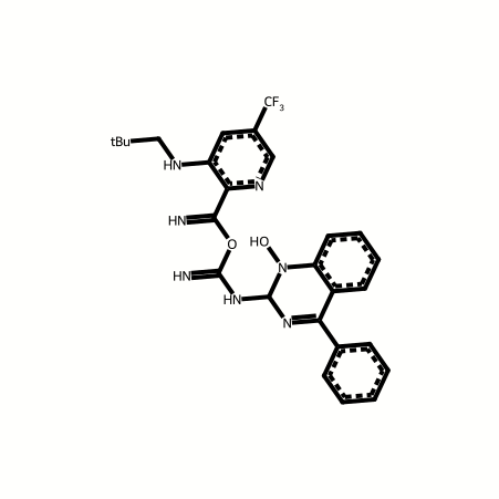 CC(C)(C)CNc1cc(C(F)(F)F)cnc1C(=N)OC(=N)NC1N=C(c2ccccc2)c2ccccc2N1O